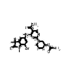 CC1(C)C(=O)Nc2c(Br)cc(Nc3nc(N4CCCC(OC(N)=O)C4)ncc3C(N)=O)cc21